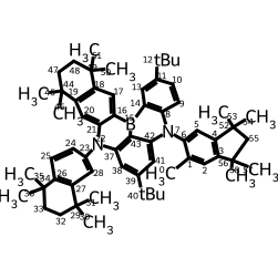 Cc1cc2c(cc1N1c3ccc(C(C)(C)C)cc3B3c4cc5c(cc4N(c4ccc6c(c4)C(C)(C)CCC6(C)C)c4cc(C(C)(C)C)cc1c43)C(C)(C)CCC5(C)C)C(C)(C)CC2(C)C